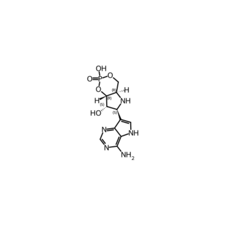 Nc1ncnc2c([C@@H]3N[C@@H]4COP(=O)(O)O[C@H]4[C@H]3O)c[nH]c12